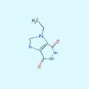 CCn1cnc2c(=O)[nH][nH]c(=O)c21